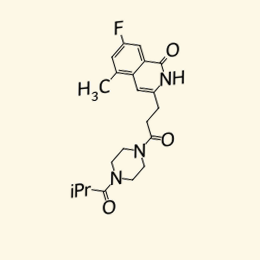 Cc1cc(F)cc2c(=O)[nH]c(CCC(=O)N3CCN(C(=O)C(C)C)CC3)cc12